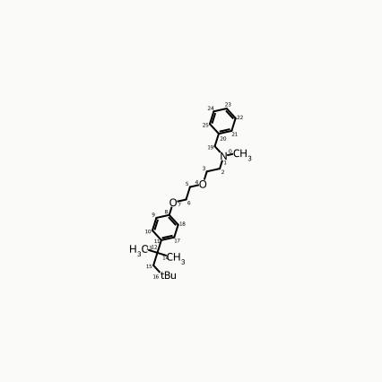 CN(CCOCCOc1ccc(C(C)(C)CC(C)(C)C)cc1)Cc1ccccc1